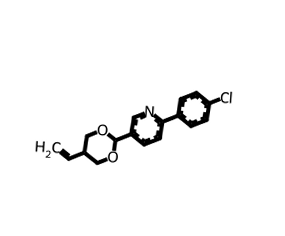 C=CC1COC(c2ccc(-c3ccc(Cl)cc3)nc2)OC1